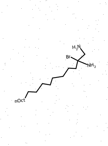 CCCCCCCCCCCCCCCCC(N)(Br)CN